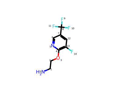 NCCOc1ncc(C(F)(F)F)cc1F